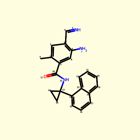 Cc1cc(C=N)c(N)cc1C(=O)NC1(c2cccc3ccccc23)CC1